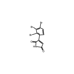 O=C1C=C(c2ccc(Br)c(Br)c2Br)C(=O)N1